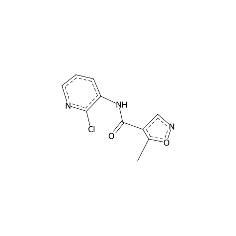 Cc1oncc1C(=O)Nc1cccnc1Cl